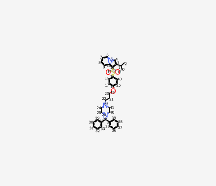 CC(C)c1cn2ccccc2c1S(=O)(=O)c1ccc(OCCCN2CCN(C(c3ccccc3)c3ccccc3)CC2)cc1